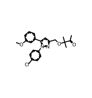 COc1cccc(-c2cc(COC(C)(C)C(C)=O)nn2-c2ccc(Cl)cc2)c1